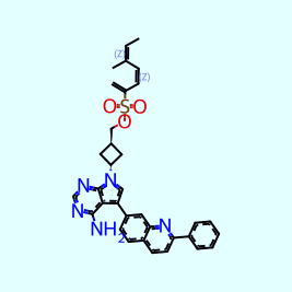 C=C(/C=C\C(C)=C/C)S(=O)(=O)OC[C@H]1C[C@H](n2cc(-c3ccc4ccc(-c5ccccc5)nc4c3)c3c(N)ncnc32)C1